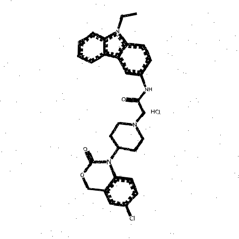 CCn1c2ccccc2c2cc(NC(=O)CN3CCC(N4C(=O)OCc5cc(Cl)ccc54)CC3)ccc21.Cl